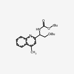 Cc1cc(C(COCC(C)C)NC(=O)OC(C)(C)C)nc2ccccc12